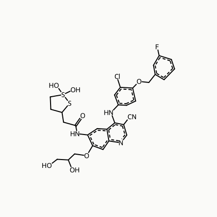 N#Cc1cnc2cc(OCC(O)CO)c(NC(=O)CC3CCS(O)(O)S3)cc2c1Nc1ccc(OCc2cccc(F)c2)c(Cl)c1